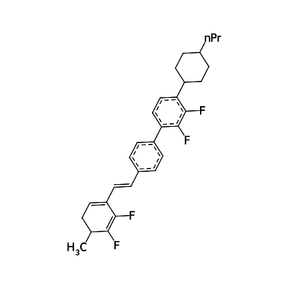 CCCC1CCC(c2ccc(-c3ccc(/C=C/C4=CCC(C)C(F)=C4F)cc3)c(F)c2F)CC1